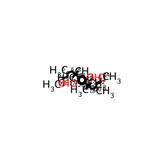 COCCC(C)CC(C)(C)c1cc(O)c(C(C)(C)CC(C)CCOC)cc1O